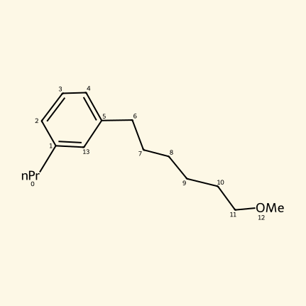 CCCc1cccc(CCCCCCOC)c1